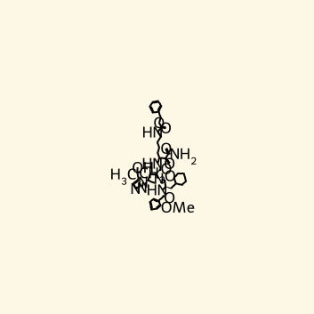 COc1ccccc1C(=O)N[C@H](CC1CCCCC1)C(=O)N1C[C@@H](n2nncc2C(C)(C)O)C[C@H]1C(=O)NC(CCCCNC(=O)OCc1ccccc1)C(=O)C(N)=O